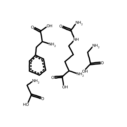 NC(=O)NCCCC(N)C(=O)O.NC(Cc1ccccc1)C(=O)O.NCC(=O)O.NCC(=O)O